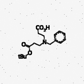 CC(C)(C)OC(=O)CCN(CCC(=O)O)Cc1ccccc1